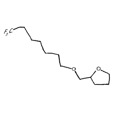 FC(F)(F)CCCCCCOCC1CCCO1